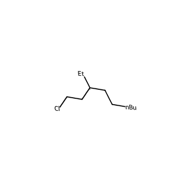 CCCCCC[C](CC)CCCl